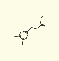 CCCc1sc(CNC(=O)OC(C)(C)C)nc1CC